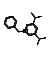 CC(C)c1cc(C(C)C)c[n+](Cc2ccccc2)c1